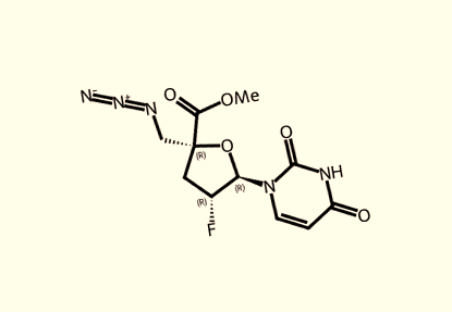 COC(=O)[C@]1(CN=[N+]=[N-])C[C@@H](F)[C@H](n2ccc(=O)[nH]c2=O)O1